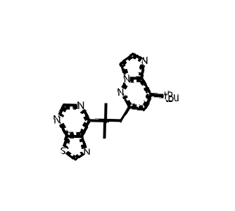 CC(C)(C)c1cc(CC(C)(C)c2ncnc3scnc23)nn2ccnc12